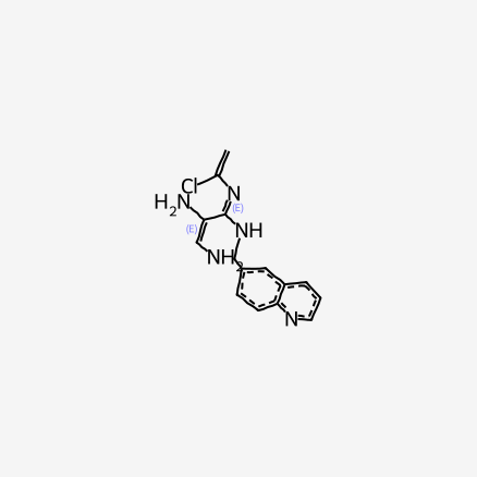 C=C(Cl)/N=C(NCc1ccc2ncccc2c1)\C(N)=C/N